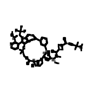 CC[C@H](C(=O)N[C@H]1Cc2cccc(c2)-c2ccc3c(c2)c(c(-c2cccnc2[C@H](C)OC)n3CC(F)(F)F)CC(C)(C)COC(=O)[C@@H]2CCCN(N2)C1=O)N(C)C(=O)C1CN(C(=O)C#CC(C)(C)N(C)C)C1